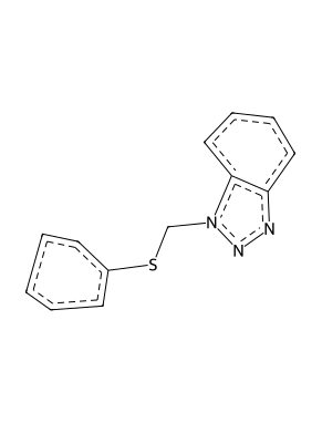 c1ccc(SCn2nnc3ccccc32)cc1